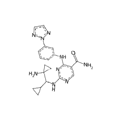 NC(=O)c1cnc(NC(C2CC2)C2(N)CC2)nc1Nc1cccc(-n2nccn2)c1